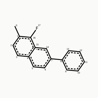 Cc1ccc2ccc(-c3ccccc3)cc2c1F